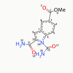 COC(=O)c1ccc2c(c1)cc(C(N)=O)n2C(N)=O